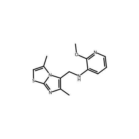 COc1ncccc1NCc1c(C)nc2scc(C)n12